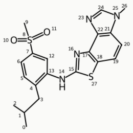 CC(C)Cc1ccc(S(C)(=O)=O)cc1Nc1nc2c(ccc3c2ncn3C)s1